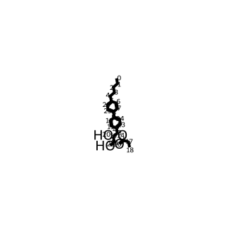 CCCCCc1ccc(-c2ccc(C(OC(=O)CC)C(O)CO)cc2)cc1